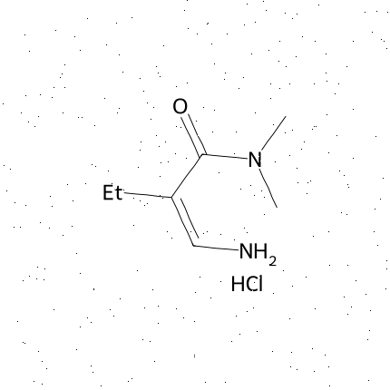 CCC(=CN)C(=O)N(C)C.Cl